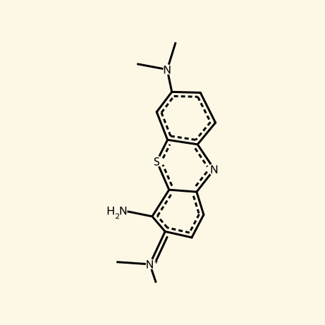 CN(C)c1ccc2nc3ccc(=[N+](C)C)c(N)c-3sc2c1